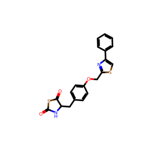 O=C1NC(Cc2ccc(OCc3nc(-c4ccccc4)cs3)cc2)C(=O)S1